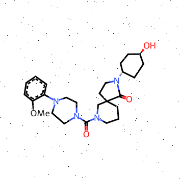 COc1ccccc1N1CCN(C(=O)N2CCCC3(CCN([C@H]4CC[C@H](O)CC4)C3=O)C2)CC1